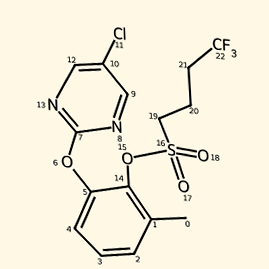 Cc1cccc(Oc2ncc(Cl)cn2)c1OS(=O)(=O)CCCC(F)(F)F